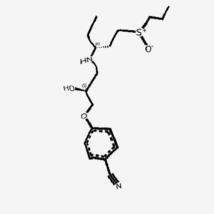 CCC[S+]([O-])CC[C@@H](CC)NC[C@H](O)COc1ccc(C#N)cc1